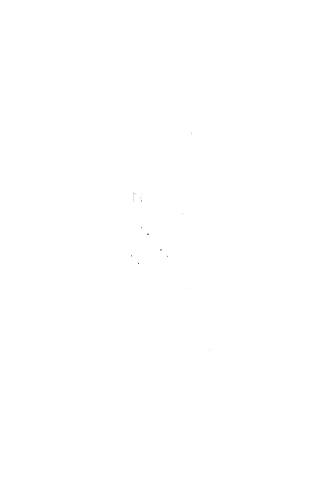 COc1cc(OC)c(Cl)c(/C(F)=C/c2cnc(N[C@H]3COCC(/C=C/C(=O)Cl)[C@H]3N)nc2)c1Cl